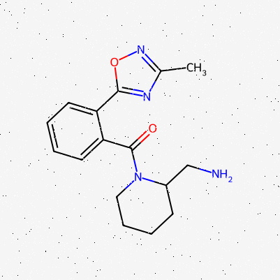 Cc1noc(-c2ccccc2C(=O)N2CCCCC2CN)n1